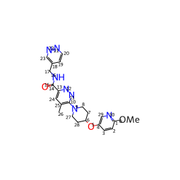 COc1ccc(OC2CCN(c3nnc(C(=O)NCc4ccnnc4)cc3C)CC2)cn1